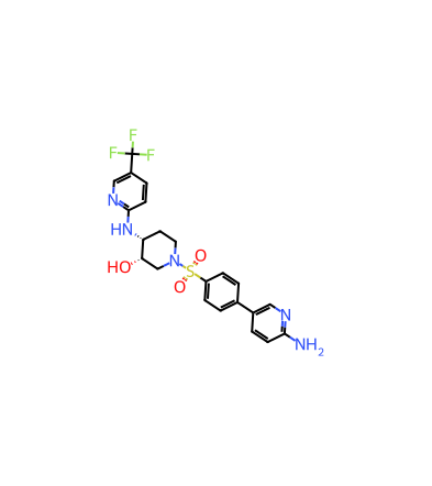 Nc1ccc(-c2ccc(S(=O)(=O)N3CC[C@@H](Nc4ccc(C(F)(F)F)cn4)[C@@H](O)C3)cc2)cn1